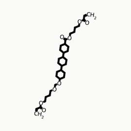 C=CC(=O)OCCCCOCOC1CCC(C2CCC(C3CCC(C(=O)OCCCCOC(=O)C=C)CC3)CC2)CC1